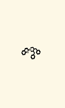 c1ccc(CC2CCN(c3ccc4ccccc4n3)CC2Cc2ccccc2)cc1